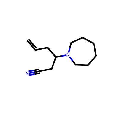 C=CCC(CC#N)N1CCCCCC1